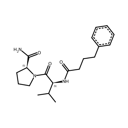 CC(C)[C@H](NC(=O)CCCc1ccccc1)C(=O)N1CCC[C@H]1C(N)=O